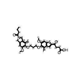 CCCC(=O)N1Cc2cc(OC)c(OCCCOc3c(OC)cc4sc(C(=O)CCC(=O)O)cc4c3F)c(F)c2C1